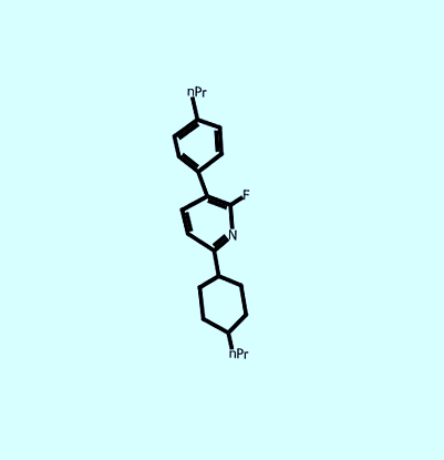 CCCc1ccc(-c2ccc(C3CCC(CCC)CC3)nc2F)cc1